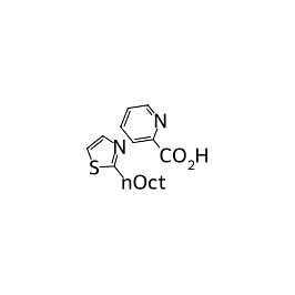 CCCCCCCCc1nccs1.O=C(O)c1ccccn1